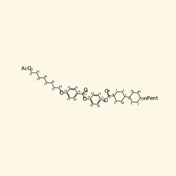 CCCCCC1CCC(C2CCC(C(=O)Oc3ccc(OC(=O)c4ccc(OCCCCCCCCOC(C)=O)cc4)cc3)CC2)CC1